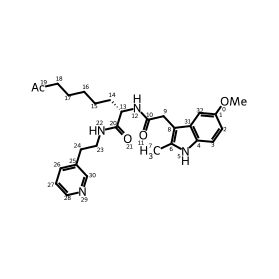 COc1ccc2[nH]c(C)c(CC(=O)N[C@@H](CCCCCC(C)=O)C(=O)NCCc3cccnc3)c2c1